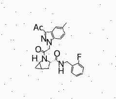 CC(=O)c1nn(CC(=O)N2[C@@H]3CC3C[C@H]2C(=O)NCc2ccccc2F)c2ccc(C)cc12